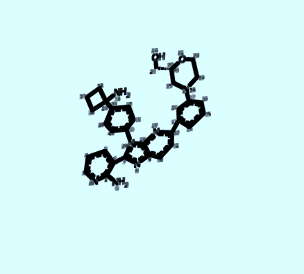 Nc1ncccc1-c1nc2ccc(-c3cccc(N4CCO[C@@H](CO)C4)c3)nc2n1-c1ccc(C2(N)CCC2)cc1